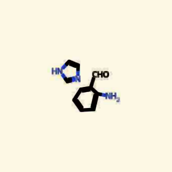 Nc1ccccc1C=O.c1c[nH]cn1